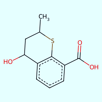 CC1CC(O)c2cccc(C(=O)O)c2S1